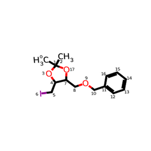 CC1(C)OC(CI)C(COCc2ccccc2)O1